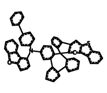 c1ccc(-c2ccc(N(c3ccc4c(c3)-c3ccccc3-c3ccccc3C43c4ccccc4-c4cc5sc6ccccc6c5cc43)c3cccc4oc5ccccc5c34)cc2)cc1